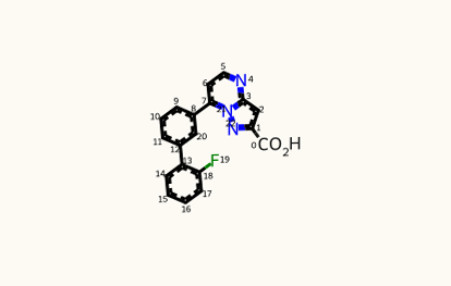 O=C(O)c1cc2nccc(-c3cccc(-c4ccccc4F)c3)n2n1